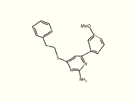 COc1cccc(-c2cc(SCCc3ccccc3)nc(N)n2)c1